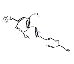 Cc1cc(C)c(/C=C/c2ccc(C(C)C)cc2)c(C)c1